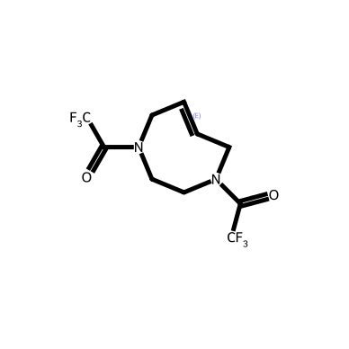 O=C(N1C/C=C/CN(C(=O)C(F)(F)F)CC1)C(F)(F)F